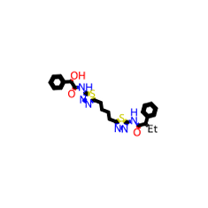 CCC(C(=O)Nc1nnc(CCCCc2nnc(NC(=O)C(O)c3ccccc3)s2)s1)c1ccccc1